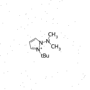 CN(C)n1ccc[n+]1C(C)(C)C